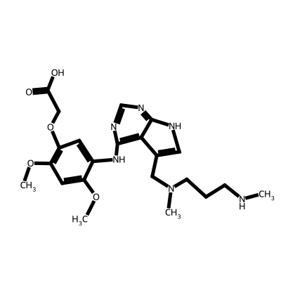 CNCCCN(C)Cc1c[nH]c2ncnc(Nc3cc(OCC(=O)O)c(OC)cc3OC)c12